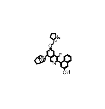 CN1CCC[C@H]1CON1C=C(N2CC3CCC(C2)N3)c2cnc(-c3cc(O)cc4ccccc34)c(F)c2C1